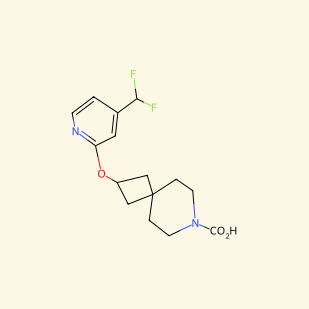 O=C(O)N1CCC2(CC1)CC(Oc1cc(C(F)F)ccn1)C2